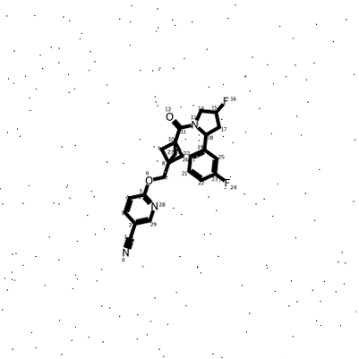 N#Cc1ccc(OCC23CC(C(=O)N4CC(F)CC4c4cccc(F)c4)(C2)C3)nc1